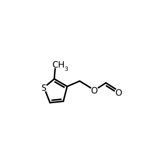 Cc1sccc1COC=O